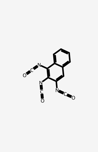 O=C=Nc1cc2ccccc2c(N=C=O)c1N=C=O